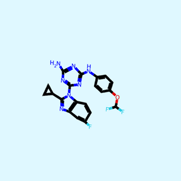 Nc1nc(Nc2ccc(OC(F)F)cc2)nc(-n2c(C3CC3)nc3cc(F)ccc32)n1